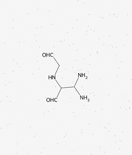 NC(N)C(C=O)NCC=O